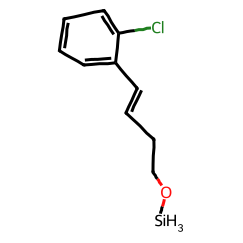 [SiH3]OCCC=Cc1ccccc1Cl